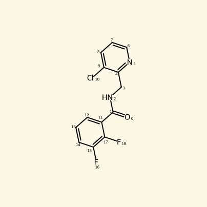 O=C(NCc1ncccc1Cl)c1cccc(F)c1F